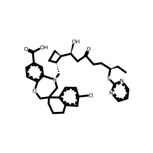 CC[C@H](CCC(=O)C[C@H](O)[C@@H]1CC[C@H]1CN1CC2(CCCc3cc(Cl)ccc32)COc2ccc(C(=O)O)cc21)Sc1ncccn1